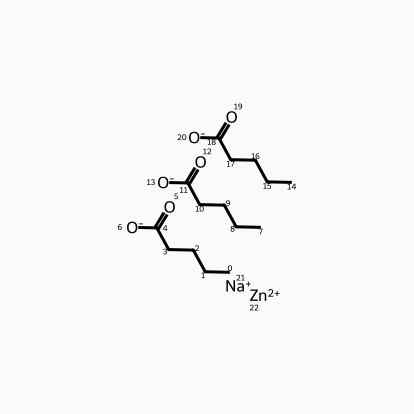 CCCCC(=O)[O-].CCCCC(=O)[O-].CCCCC(=O)[O-].[Na+].[Zn+2]